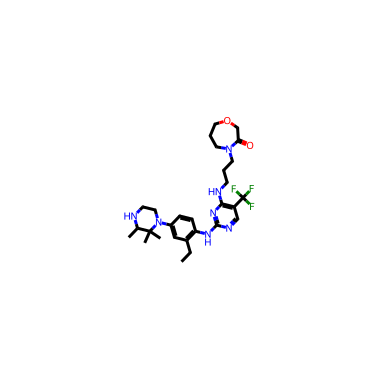 CCc1cc(N2CCNC(C)C2(C)C)ccc1Nc1ncc(C(F)(F)F)c(NCCCN2CCCOCC2=O)n1